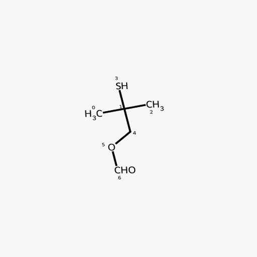 CC(C)(S)COC=O